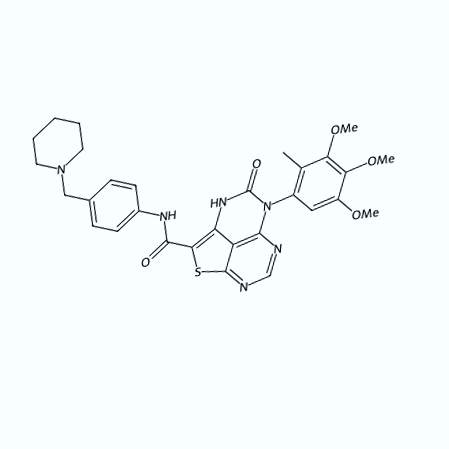 COc1cc(N2C(=O)Nc3c(C(=O)Nc4ccc(CN5CCCCC5)cc4)sc4ncnc2c34)c(C)c(OC)c1OC